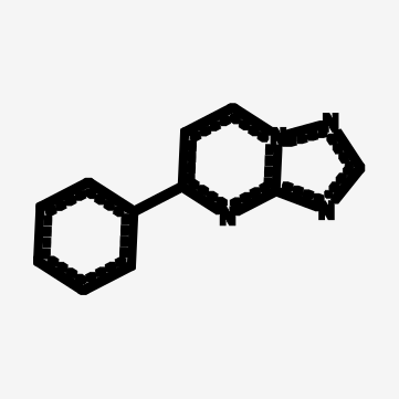 c1ccc(-c2ccn3ncnc3n2)cc1